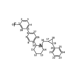 Fc1cccc(-c2ccc(C3CCCCN3CC3CC3c3ccccc3)cc2)c1